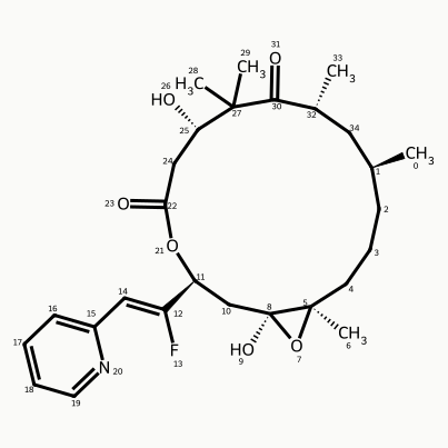 C[C@H]1CCC[C@@]2(C)O[C@@]2(O)C[C@@H](C(F)=Cc2ccccn2)OC(=O)C[C@H](O)C(C)(C)C(=O)[C@H](C)C1